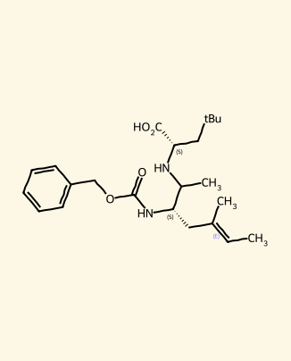 C/C=C(\C)C[C@H](NC(=O)OCc1ccccc1)C(C)N[C@@H](CC(C)(C)C)C(=O)O